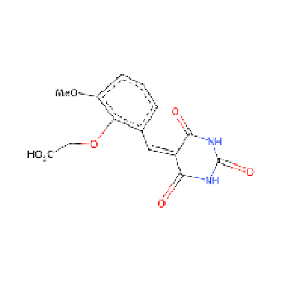 COc1cccc(C=C2C(=O)NC(=O)NC2=O)c1OCC(=O)O